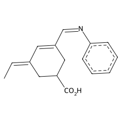 C/C=C1C=C(/C=N\c2ccccc2)CC(C(=O)O)C/1